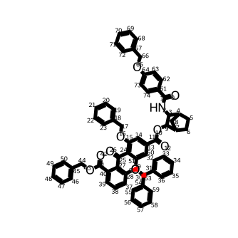 O=C(NC1C2CCC(C2)C1OC(=O)c1cc(OCc2ccccc2)c(C(=O)c2c(OCc3ccccc3)cccc2C(=O)OCc2ccccc2)c(OCc2ccccc2)c1)c1ccc(OCc2ccccc2)cc1